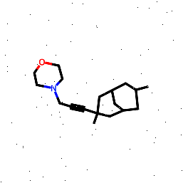 CC1CC2CC(C1)CC(C)(C#CCN1CCOCC1)C2